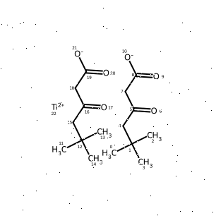 CC(C)(C)CC(=O)CC(=O)[O-].CC(C)(C)CC(=O)CC(=O)[O-].[Ti+2]